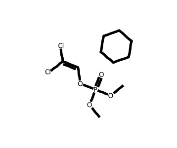 C1CCCCC1.COP(=O)(OC)OC=C(Cl)Cl